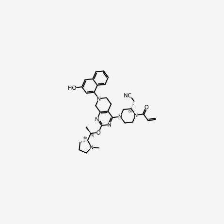 C=CC(=O)N1CCN(c2nc(O[C@H](C)[C@H]3CCCN3C)nc3c2CCN(c2cc(O)cc4ccccc24)C3)C[C@@H]1CC#N